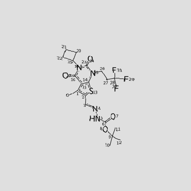 Cc1c(/C=N/NC(=O)OC(C)(C)C)sc2c1c(=O)n(C1CCC1)c(=O)n2CCC(F)(F)F